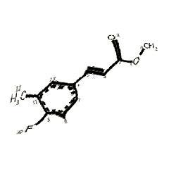 COC(=O)/C=C/c1ccc(F)c(C)c1